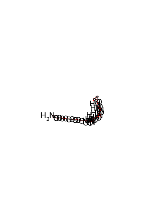 Cn1cc(NC(=O)c2nc(NC(=O)CCNC(=O)OCC3c4ccccc4-c4ccccc43)cn2C)cc1C(=O)NCCC(=O)Nc1cn(C)c(C(=O)NCCC(=O)NCCOCCOCCOCCOCCOCCOCCOCCOCCOc2ccc(N)cc2)n1